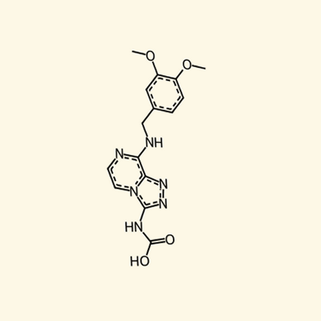 COc1ccc(CNc2nccn3c(NC(=O)O)nnc23)cc1OC